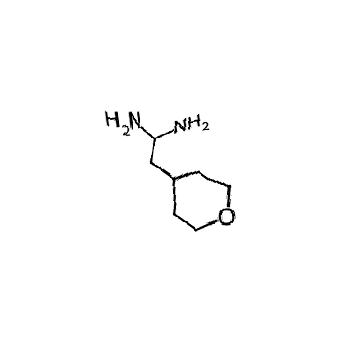 NC(N)CC1CCOCC1